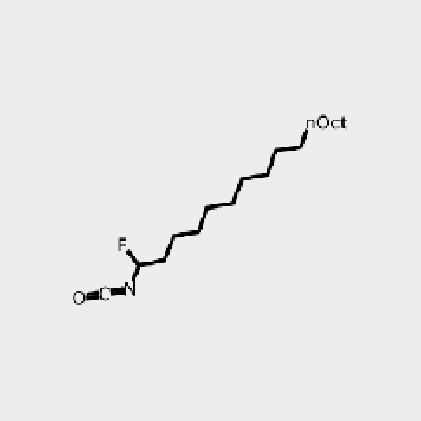 CCCCCCCCCCCCCCCCCC(F)N=C=O